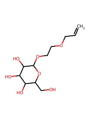 C=CCOCCOC1OC(CO)C(O)C(O)C1O